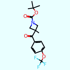 CC(C)(C)OC(=O)N1CC(C)(C(=O)c2ccc(OC(F)(F)F)cc2)C1